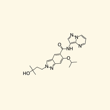 CC(C)Oc1cc2nn(CCC(C)(C)O)cc2cc1C(=O)Nc1cnn2cccnc12